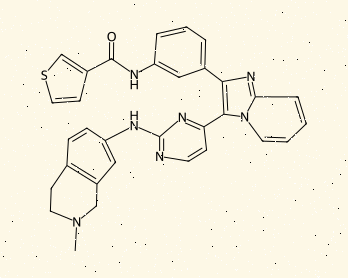 CN1CCc2ccc(Nc3nccc(-c4c(-c5cccc(NC(=O)c6ccsc6)c5)nc5ccccn45)n3)cc2C1